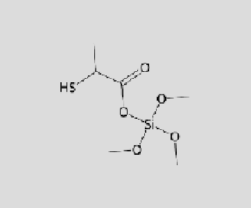 CO[Si](OC)(OC)OC(=O)C(C)S